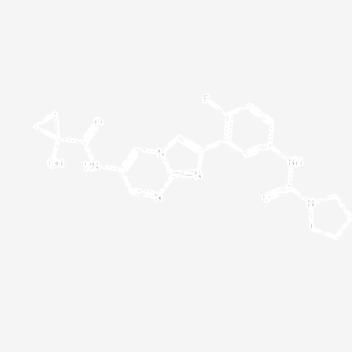 O=C(Nc1ccc(F)c(-c2cn3cc(NC(=O)C4(O)CC4)cnc3n2)c1)N1CCCC1